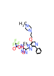 CCn1c(-c2nonc2N)nc2c(-c3ccccc3)ncc(OCCCN3CCN(C)CC3)c21.O=C(O)C(F)(F)F